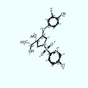 C[C@@H](O)[C@]1(O)CN(S(=O)(=O)c2ccc(Cl)cn2)C[C@@H]1Oc1ccc(C#N)c(F)c1